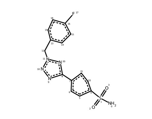 NS(=O)(=O)c1ccc(-c2nnn(Cc3ccc(F)cc3)n2)cc1